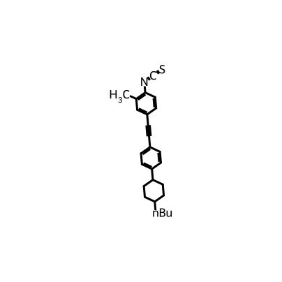 CCCCC1CCC(c2ccc(C#Cc3ccc(N=C=S)c(C)c3)cc2)CC1